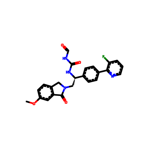 COc1ccc2c(c1)C(=O)N(C[C@H](NC(=O)NC=O)c1ccc(-c3ncccc3F)cc1)C2